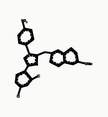 COc1ccc2cc(Cc3nc(-c4ccc(Cl)cc4Cl)cn3-c3ccc([N+](=O)[O-])cc3)ccc2c1